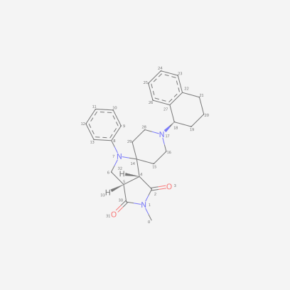 CN1C(=O)[C@@H]2[C@@H](CN(c3ccccc3)C23CCN([C@@H]2CCCc4ccccc42)CC3)C1=O